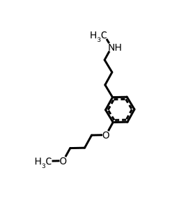 CNCCCc1cccc(OCCCOC)c1